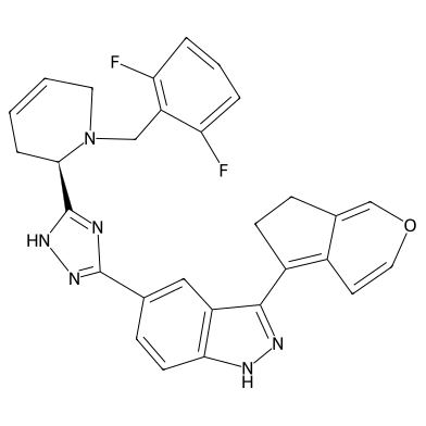 Fc1cccc(F)c1CN1CC=CC[C@@H]1c1nc(-c2ccc3[nH]nc(C4=C5C=COC=C5CC4)c3c2)n[nH]1